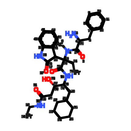 CC(=O)N(C(=O)[C@@H](N)Cc1ccccc1)[C@](CC(C)C)(C(=O)N[C@@H](CC1CCCCC1)[C@@H](O)CC(=O)NCC(C)C)C1C(=O)Nc2ccccc21